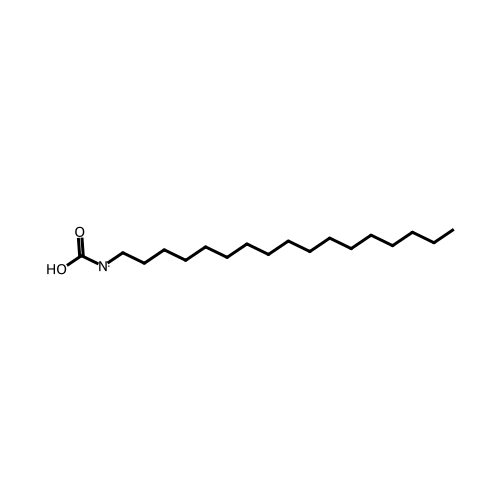 CCCCCCCCCCCCCCCCC[N]C(=O)O